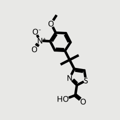 COc1ccc(C(C)(C)c2csc(C(=O)O)n2)cc1[N+](=O)[O-]